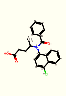 CC(CCC(=O)O)N(C(=O)c1ccccc1)c1ccc(Cl)c2ccccc12